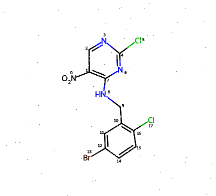 O=[N+]([O-])c1cnc(Cl)nc1NCc1cc(Br)ccc1Cl